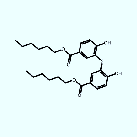 CCCCCCOC(=O)c1ccc(O)c(Sc2cc(C(=O)OCCCCCC)ccc2O)c1